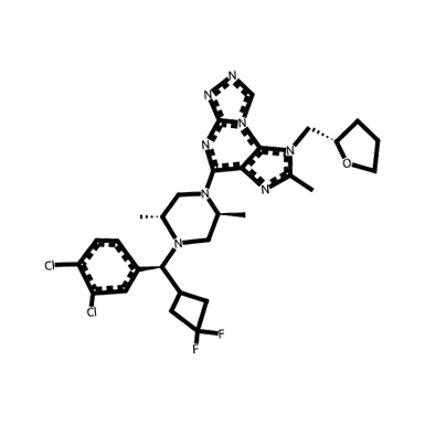 Cc1nc2c(N3C[C@@H](C)N([C@H](c4ccc(Cl)c(Cl)c4)C4CC(F)(F)C4)C[C@@H]3C)nc3nncn3c2n1C[C@@H]1CCCO1